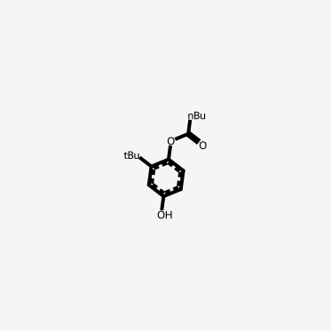 CCCCC(=O)Oc1ccc(O)cc1C(C)(C)C